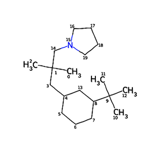 CC(C)(CC1CCCC(C(C)(C)C)C1)CN1CCCC1